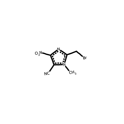 Cn1c(CBr)nc([N+](=O)[O-])c1C#N